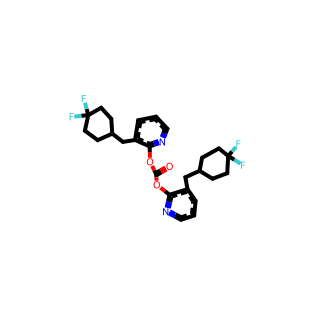 O=C(Oc1ncccc1CC1CCC(F)(F)CC1)Oc1ncccc1CC1CCC(F)(F)CC1